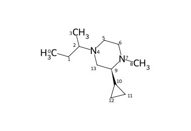 CCC(C)N1CCN(C)[C@@H](C2CC2)C1